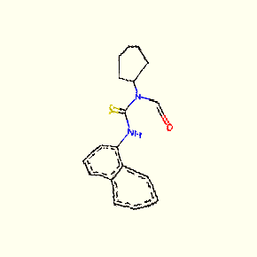 O=CN(C(=S)Nc1cccc2ccccc12)C1CCCC1